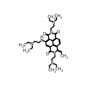 CC=c1c2ccc3c4c(c(NCCN(CC)CC)cc(c(=O)n1CCN(CC)CC)c42)C(=O)N(CCN(CC)CC)C3=O